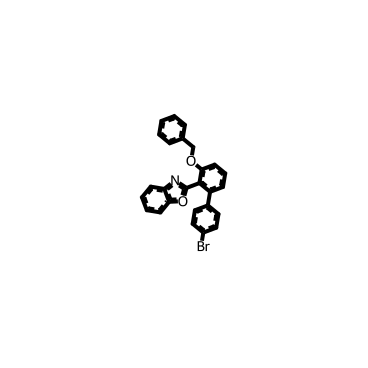 Brc1ccc(-c2cccc(OCc3ccccc3)c2-c2nc3ccccc3o2)cc1